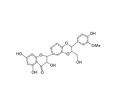 COc1cc(C2Oc3ccc(C4Oc5cc(O)cc(O)c5C(=O)C4O)cc3OC2CO)ccc1O